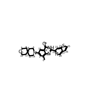 Cc1cc(N2CCC3(CCOCC3)CC2)cc2c(=O)[nH]c(-c3cc4sccc4cn3)nc12